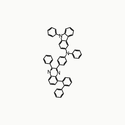 c1ccc(-c2ccccc2-c2cccc3nc(-c4ccccc4)c(-c4ccc(N(c5ccccc5)c5ccc6c(c5)c5ccccc5n6-c5ccccc5)cc4)nc23)cc1